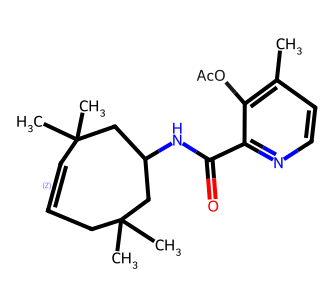 CC(=O)Oc1c(C)ccnc1C(=O)NC1CC(C)(C)/C=C\CC(C)(C)C1